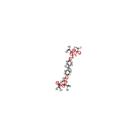 C=C(C)C(=O)OCC(COc1ccc(C(C)(C)c2ccc(OCC(COC(=O)C(=C)C)OC(=O)C(=C)C)cc2)cc1)OC(=O)C(=C)C